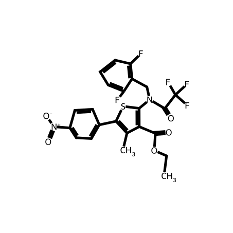 CCOC(=O)c1c(N(Cc2c(F)cccc2F)C(=O)C(F)(F)F)sc(-c2ccc([N+](=O)[O-])cc2)c1C